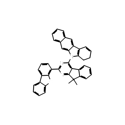 CC1(C)c2ccccc2-c2c(-n3c4c(c5cc6ccccc6cc53)C=CCC4)nc(-c3cccc4c3oc3ccccc34)nc21